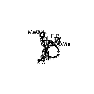 COC[C@@H]1CCCC/C=C\C2C[C@@]2(C(=O)NS(=O)(=O)C2CC2)NC(=O)[C@@H]2C[C@@H](Oc3nc4cc(OC)ccc4nc3C(F)(F)F)CN2C(=O)[C@H]1NC(=O)OC(C)(C)C(F)(F)F